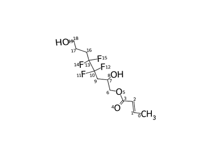 CC=CC(=O)OCC(O)CC(F)(F)C(F)(F)CCCO